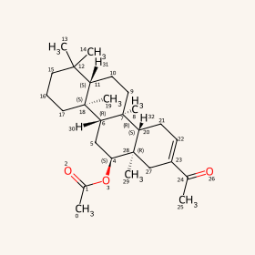 CC(=O)O[C@H]1C[C@H]2[C@@](C)(CC[C@H]3C(C)(C)CCC[C@]23C)[C@@H]2CC=C(C(C)=O)C[C@]21C